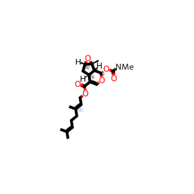 CNC(=O)O[C@@H]1OC=C(C(=O)OC/C=C(\C)CCC=C(C)C)[C@H]2C[C@@H]3O[C@]3(C)[C@H]12